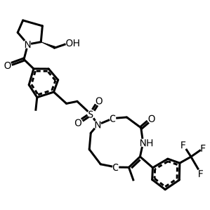 C/C1=C(\c2cccc(C(F)(F)F)c2)NC(=O)CCN(S(=O)(=O)CCc2ccc(C(=O)N3CCC[C@H]3CO)cc2C)CCCC1